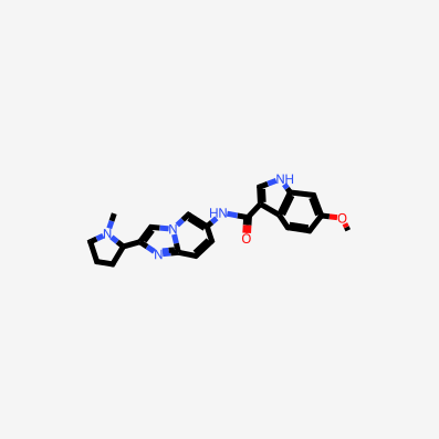 COc1ccc2c(C(=O)Nc3ccc4nc(C5CCCN5C)cn4c3)c[nH]c2c1